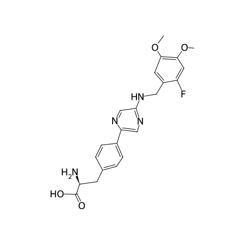 COc1cc(F)c(CNc2cnc(-c3ccc(C[C@H](N)C(=O)O)cc3)cn2)cc1OC